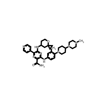 Cc1cc(Nc2nc(NC3CCOC4(CC4)C3)c(-c3ccncc3)nc2C(N)=O)ccc1N1CCC(N2CCN(C)CC2)CC1